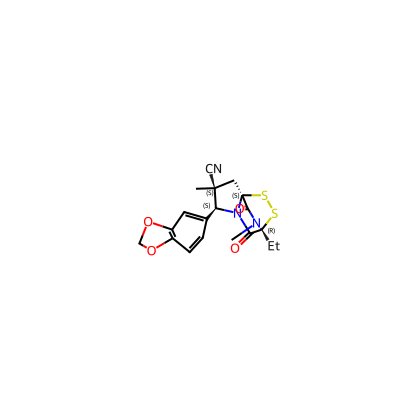 CC[C@@]12SS[C@@]3(C[C@](C)(C#N)[C@H](c4ccc5c(c4)OCO5)N3C1=O)C(=O)N2C